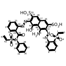 C=CS(=O)(=O)c1ccccc1N=Nc1c(S(=O)(=O)O)cc2cc(S(=O)(=O)O)c(N=Nc3ccccc3C(=O)N(c3ccccc3)S(=O)(=O)C=C)c(O)c2c1N